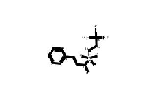 CC(CCc1ccccc1)[SH](C)(C)(C)CCC(F)(F)F